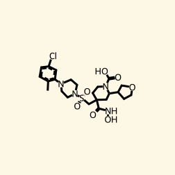 Cc1ccc(Cl)cc1N1CCN(S(=O)(=O)CC2(C(=O)NO)CCN(C(=O)O)C(C3CCOC3)C2)CC1